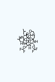 CC(C)C[C@H](NC(=O)[C@H](COC(F)F)NC(=O)[C@H](COC(F)F)NC(=O)CN1CCOCC1)C(=O)N[C@@H](CC(C)C)C(=O)[C@@]1(C)CO1